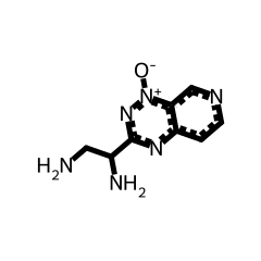 NCC(N)c1nc2ccncc2[n+]([O-])n1